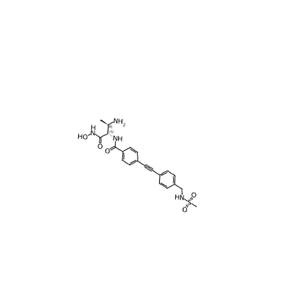 C[C@@H](N)[C@H](NC(=O)c1ccc(C#Cc2ccc(CNS(C)(=O)=O)cc2)cc1)C(=O)NO